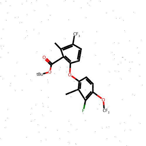 Cc1c(Oc2ccc(C(F)(F)F)c(C)c2C(=O)OC(C)(C)C)ccc(OC(F)(F)F)c1F